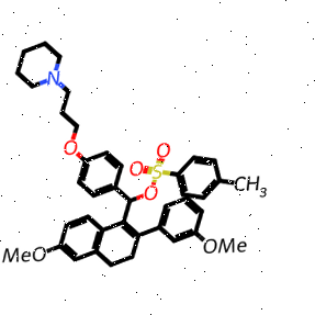 COc1cccc(C2=C(C(OS(=O)(=O)c3ccc(C)cc3)c3ccc(OCCCN4CCCCC4)cc3)c3ccc(OC)cc3CC2)c1